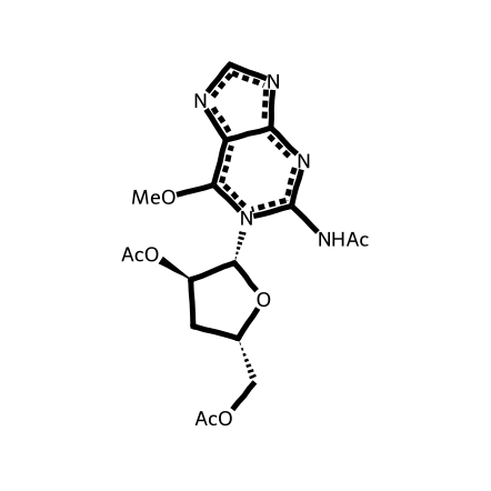 COc1c2ncnc-2nc(NC(C)=O)n1[C@@H]1O[C@H](COC(C)=O)C[C@H]1OC(C)=O